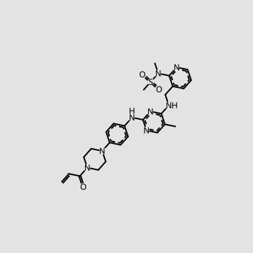 C=CC(=O)N1CCN(c2ccc(Nc3ncc(C)c(NCc4cccnc4N(C)S(C)(=O)=O)n3)cc2)CC1